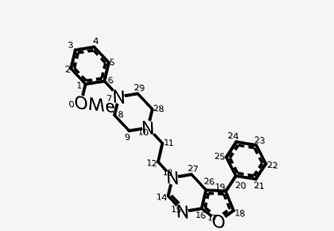 COc1ccccc1N1CCN(CCN2C=Nc3occ(-c4ccccc4)c3C2)CC1